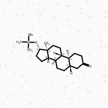 CC(C)(C)[Si](C)(C)O[C@H]1CC[C@H]2[C@@H]3CC[C@H]4CC(=O)CC[C@@H]4[C@H]3CC[C@]12C